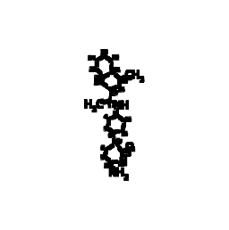 C=C(Nc1ccc(-n2ccc(N)nc2=O)cc1)c1cc(C)c2ccccc2c1